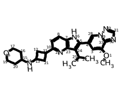 COc1cc(-c2[nH]c3ccc(C4CC(NC5CCOCC5)C4)nc3c2C(C)C)cn2ncnc12